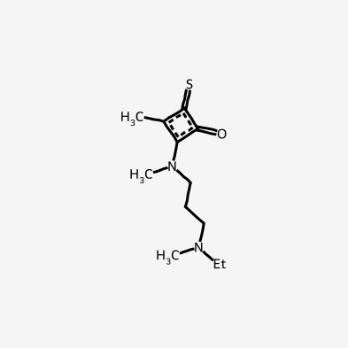 CCN(C)CCCN(C)c1c(C)c(=S)c1=O